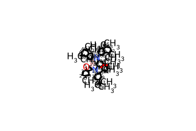 Cc1ccc2oc3c(c2c1)N(c1ccc(C(C)(C)C)cc1-c1ccccc1)c1cc(C(C)(C)C)cc2c1B3C1=C(CC3C(=C1)C(C)(C)CCC3(C)C)N2c1ccc2c(c1)C(C)(C)CCC2(C)C